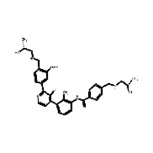 COc1cc(-c2nccc(-c3cccc(NC(=O)c4ccc(CNC[C@@H](C)O)cn4)c3C)c2Cl)ccc1CNC[C@@H](C)O